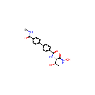 CCNC(=O)c1ccc(-c2ccc(C(=O)N[C@H](C(=O)NO)[C@@H](C)O)cc2)cc1